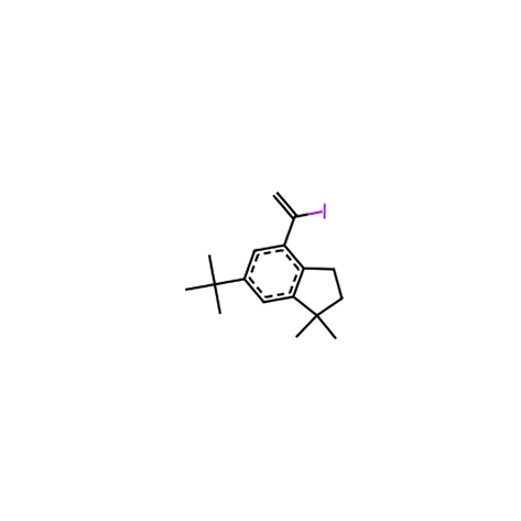 C=C(I)c1cc(C(C)(C)C)cc2c1CCC2(C)C